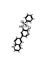 O=S(=O)(Nc1cc(-c2ccc3ncccc3c2)cnc1Cl)c1ccccc1